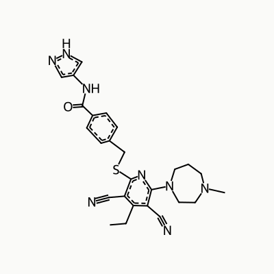 CCc1c(C#N)c(SCc2ccc(C(=O)Nc3cn[nH]c3)cc2)nc(N2CCCN(C)CC2)c1C#N